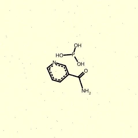 NC(=O)c1cccnc1.OP(O)O